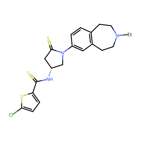 CCN1CCc2ccc(N3C[C@H](NC(=S)c4ccc(Cl)s4)CC3=S)cc2CC1